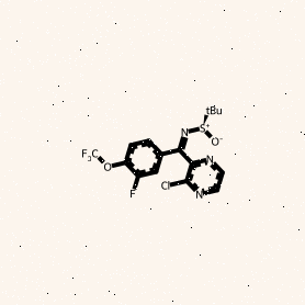 CC(C)(C)[S@@+]([O-])N=C(c1ccc(OC(F)(F)F)c(F)c1)c1nccnc1Cl